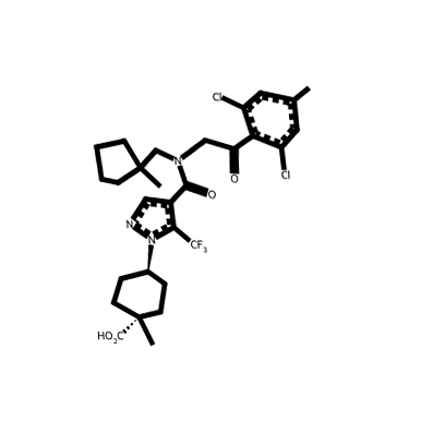 Cc1cc(Cl)c(C(=O)CN(CC2(C)CCCC2)C(=O)c2cnn([C@H]3CC[C@](C)(C(=O)O)CC3)c2C(F)(F)F)c(Cl)c1